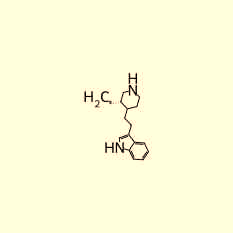 C=C[C@@H]1CNCCC1CCc1c[nH]c2ccccc12